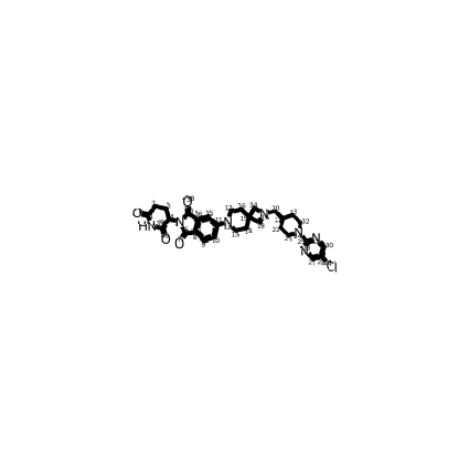 O=C1CCC(N2C(=O)c3ccc(N4CCC5(CC4)CN(CC4CCN(c6ncc(Cl)cn6)CC4)C5)cc3C2=O)C(=O)N1